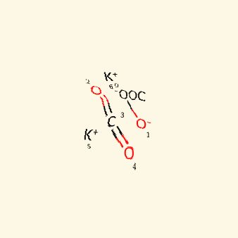 O=C([O-])[O-].O=C=O.[K+].[K+]